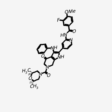 COc1ccc(C(=O)Nc2cc(-c3[nH]c4c(c3Nc3ccccc3)C(=O)CN(C(=O)N3C[C@@H](C)O[C@@H](C)C3)C4)ccn2)cc1F